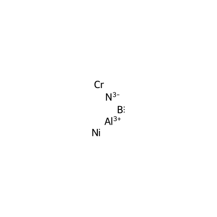 [Al+3].[B].[Cr].[N-3].[Ni]